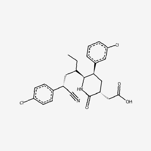 CCC(C[C@H](C#N)c1ccc(Cl)cc1)[C@@H]1NC(=O)[C@@H](CC(=O)O)C[C@@H]1c1cccc(Cl)c1